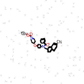 CC(C)(C)OC(=O)N1CCC(Oc2ccc(N(Cc3ccc4ccc(C#N)cc4c3)C(=O)c3ccccc3)cc2)CC1